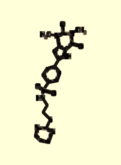 Cn1c(=O)c2[nH]c(-c3ccc(S(=O)(=O)NCCSc4ncccn4)cc3)cc2n(C)c1=O